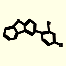 Clc1ccc(-c2ccc3sc4ccccc4c3c2)c(Br)c1